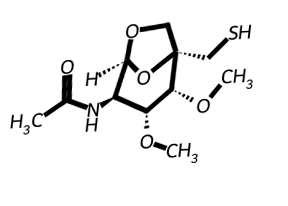 CO[C@@H]1[C@@H](NC(C)=O)[C@H]2OC[C@](CS)(O2)[C@@H]1OC